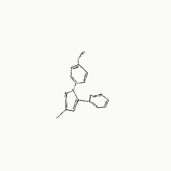 Cc1cc(-c2ccccc2)n(-c2ccc(F)cc2)n1